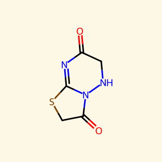 O=C1CNN2C(=O)CSC2=N1